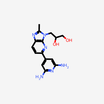 Cc1nc2ccc(-c3cc(N)nc(N)c3)nc2n1CC(O)CO